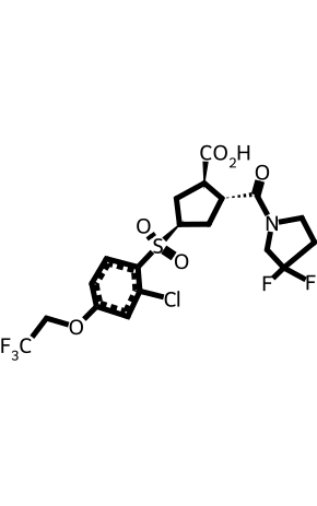 O=C(O)[C@@H]1C[C@H](S(=O)(=O)c2ccc(OCC(F)(F)F)cc2Cl)C[C@H]1C(=O)N1CCC(F)(F)C1